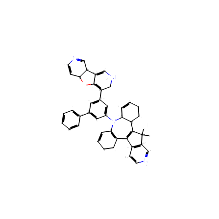 CC1(C)C2=C(C3=C(C=CCC3)N(c3cc(C4=C5OC6C=CN=CC6C5=CNC4)cc(-c4ccccc4)c3)C3C=CCCC23)c2ccncc21